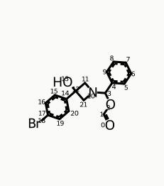 O=COC(c1ccccc1)N1CC(O)(c2ccc(Br)cc2)C1